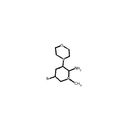 CN1CC(Br)CC(N2CCOCC2)C1N